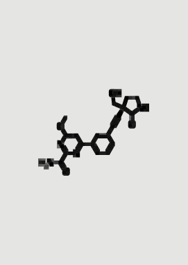 COc1cc(-c2cccc(C#C[C@@]3(CO)CCNC3=O)c2)nc(C(N)=O)n1